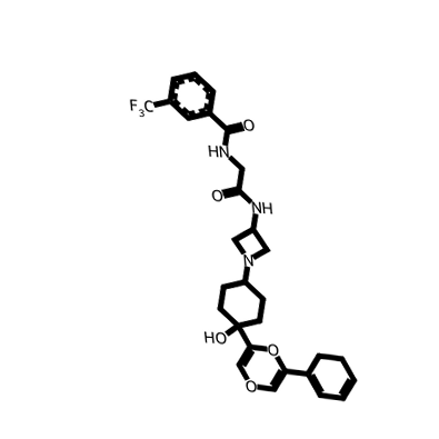 O=C(CNC(=O)c1cccc(C(F)(F)F)c1)NC1CN(C2CCC(O)(C3=COC=C(C4=CC=CCC4)O3)CC2)C1